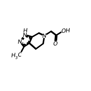 Cc1n[nH]c2c1CCN(CC(=O)O)C2